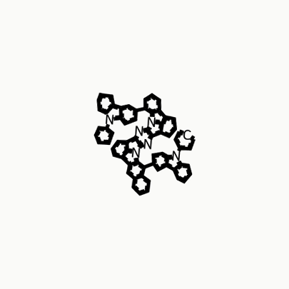 c1ccc(-n2c3ccccc3c3cc(-c4cccc5c6cccc7c8nc9c(nc8n(c45)c67)c4cccc5c6cc7ccccc7c(-c7ccc8c(c7)c7ccccc7n8-c7ccccc7)c6n9c54)ccc32)cc1